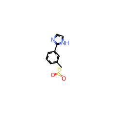 O=[SH](=O)Cc1cccc(-c2ncc[nH]2)c1